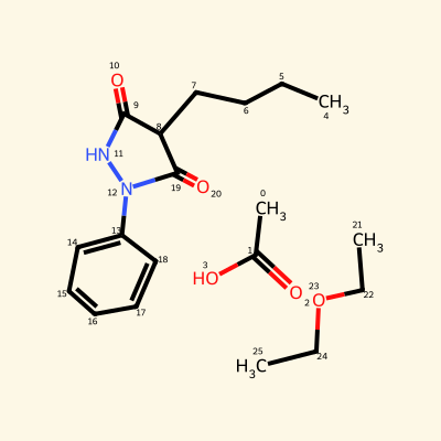 CC(=O)O.CCCCC1C(=O)NN(c2ccccc2)C1=O.CCOCC